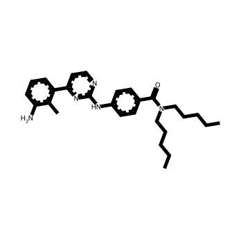 CCCCCN(CCCCC)C(=O)c1ccc(Nc2nccc(-c3cccc(N)c3C)n2)cc1